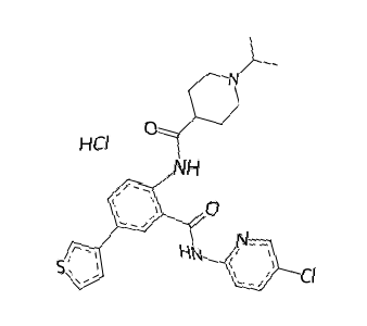 CC(C)N1CCC(C(=O)Nc2ccc(-c3ccsc3)cc2C(=O)Nc2ccc(Cl)cn2)CC1.Cl